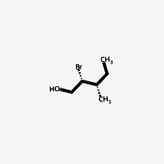 CC[C@H](C)[C@@H](Br)CO